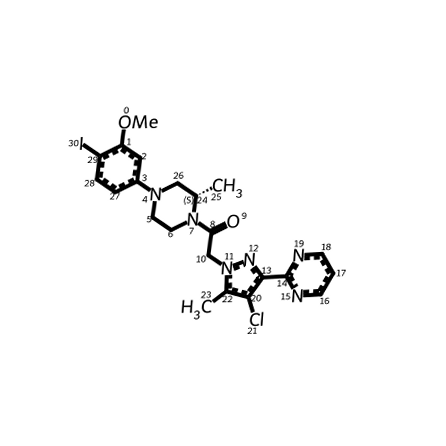 COc1cc(N2CCN(C(=O)Cn3nc(-c4ncccn4)c(Cl)c3C)[C@@H](C)C2)ccc1I